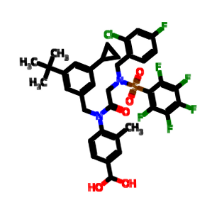 Cc1cc(C(O)O)ccc1N(Cc1cc(C2CC2)cc(C(C)(C)C)c1)C(=O)CN(Cc1ccc(F)cc1Cl)S(=O)(=O)c1c(F)c(F)c(F)c(F)c1F